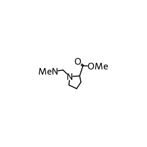 CNCN1CCCC1C(=O)OC